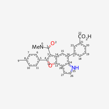 CNC(=O)c1c(-c2ccc(C)cc2)oc2c1cc(-c1cccc(C(=O)O)c1)c1[nH]ccc12